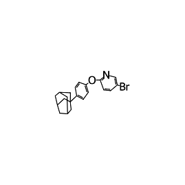 Brc1ccc(Oc2ccc(C34CC5CC(CC(C5)C3)C4)cc2)nc1